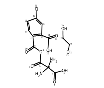 NC(N)(C(=O)O)C(=O)OC(=O)c1ccc(Cl)cc1C(=O)O.OCCO